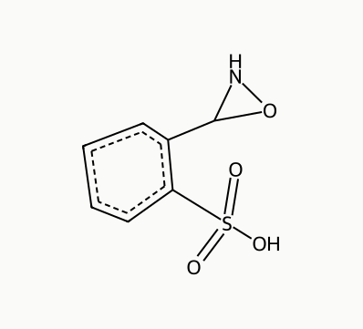 O=S(=O)(O)c1ccccc1C1NO1